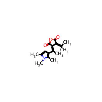 CC(C)=C1C(=O)OC(=O)C1=C(C)c1cc(C)n(C)c1C